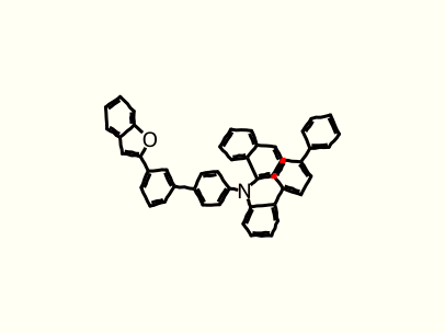 c1ccc(-c2ccc(-c3ccccc3N(c3ccc(-c4cccc(-c5cc6ccccc6o5)c4)cc3)c3cccc4ccccc34)cc2)cc1